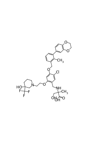 Cc1c(COc2cc(OCCN3CCCC(O)(C(F)(F)F)C3)c(CNC(C)(CO)C(=O)O)cc2Cl)cccc1-c1ccc2c(c1)OCCO2